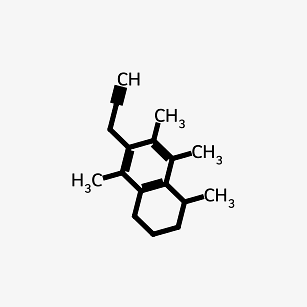 C#CCc1c(C)c(C)c2c(c1C)CCCC2C